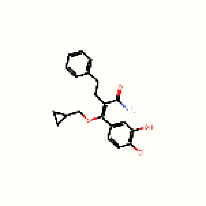 NC(=O)C(CCc1ccccc1)=C(OCC1CC1)c1ccc(O)c(O)c1